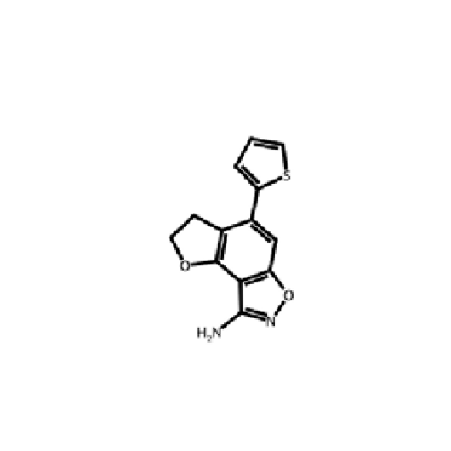 Nc1noc2cc(-c3cccs3)c3c(c12)OCC3